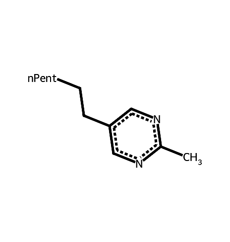 CCCCCCCc1cnc(C)nc1